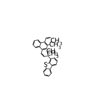 C/C=C\c1c(C)c(C)c(/C=C\C(C)c2cccc3c2sc2ccccc23)c2ccccc12